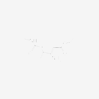 CCOC(=O)C=C(N)C(C)OC(=O)NC